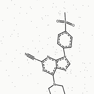 CS(=O)(=O)c1ccc(-n2cnc3c(N4CCOCC4)nc(C#N)nc32)cc1